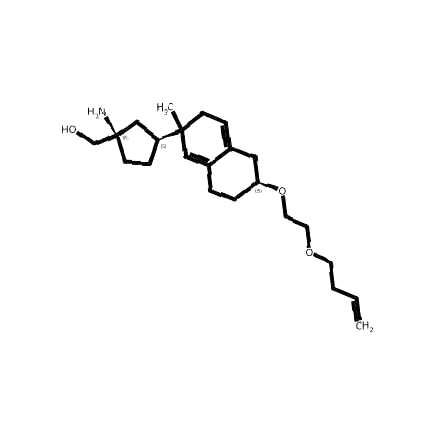 C=CCCOCCO[C@H]1CCC2=CC(C)([C@H]3CC[C@](N)(CO)C3)CC=C2C1